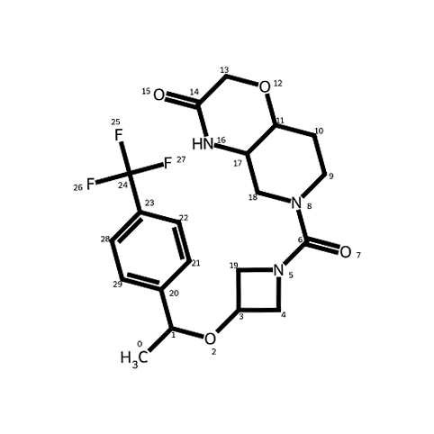 CC(OC1CN(C(=O)N2CCC3OCC(=O)NC3C2)C1)c1ccc(C(F)(F)F)cc1